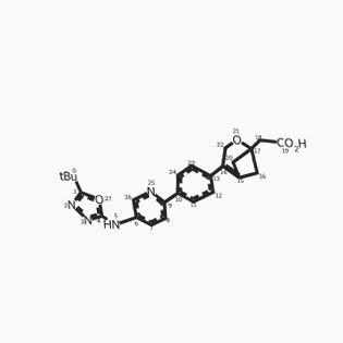 CC(C)(C)c1nnc(Nc2ccc(-c3ccc(C4=C5CC(CC(=O)O)(C5)OC4)cc3)nc2)o1